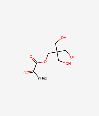 CCCCCCC(=O)C(=O)OCC(CO)(CO)CO